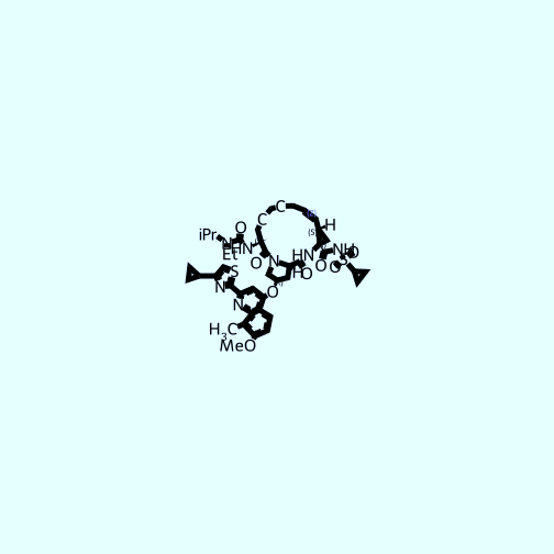 CCN(C(=O)N[C@H]1CCCCC/C=C\[C@@H]2C[C@@]2(C(=O)NS(=O)(=O)C2CC2)NC(=O)[C@@H]2C[C@@H](Oc3cc(-c4nc(C5CC5)cs4)nc4c(C)c(OC)ccc34)CN2C1=O)C(C)C